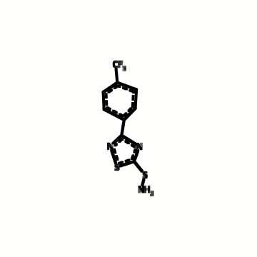 NSc1nc(-c2ccc(C(F)(F)F)cc2)ns1